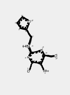 CCCCc1c(Cl)nc(NCc2ccco2)nc1Cl